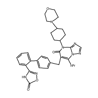 CCCc1c(Cc2ccc(-c3ccccc3-c3noc(=O)[nH]3)cc2)c(=O)n(C2CCC(N3CCOCC3)CC2)c2ncnn12